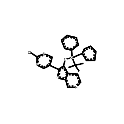 CC(C)(C)[Si](Oc1c(-c2cnc(Cl)nc2)oc2cnccc12)(c1ccccc1)c1ccccc1